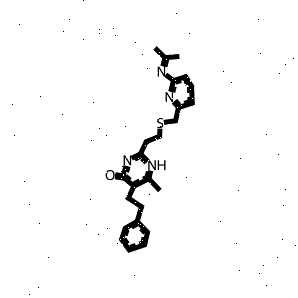 CC(C)=Nc1cccc(CSCCc2nc(=O)c(CCc3ccccc3)c(C)[nH]2)n1